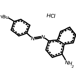 CCCCc1ccc(N=Nc2ccc(N)c3ccccc23)cc1.Cl